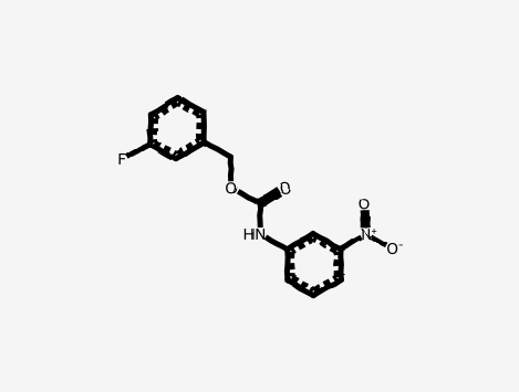 O=C(Nc1cccc([N+](=O)[O-])c1)OCc1cccc(F)c1